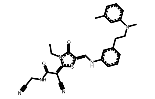 CCn1c(=C(C#N)C(=O)NCC#N)sc(=CNc2cccc(CCN(C)c3cccc(C)c3)c2)c1=O